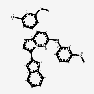 COc1cccc(N)n1.COc1cccc(Nc2ccc3ncc(-c4cc5ccccc5s4)n3n2)n1